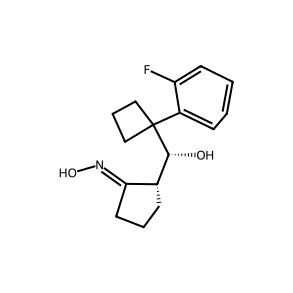 O/N=C1\CCC[C@H]1[C@@H](O)C1(c2ccccc2F)CCC1